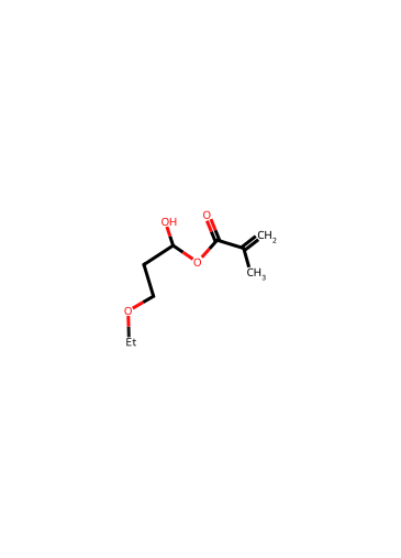 [CH2]COCCC(O)OC(=O)C(=C)C